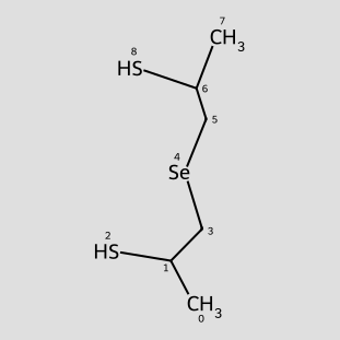 CC(S)C[Se]CC(C)S